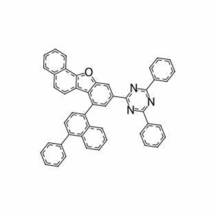 c1ccc(-c2nc(-c3ccccc3)nc(-c3cc(-c4ccc(-c5ccccc5)c5ccccc45)c4c(c3)oc3c5ccccc5ccc34)n2)cc1